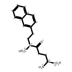 N[C@@H](CCC(=O)N(CCc1ccc2ccccc2c1)C(=O)O)C(=O)O